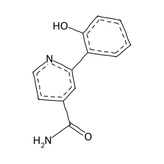 NC(=O)c1ccnc(-c2ccccc2O)c1